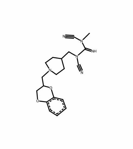 CN(C#N)C(=N)N(C#N)CC1CCN(CC2COc3ccccc3O2)CC1